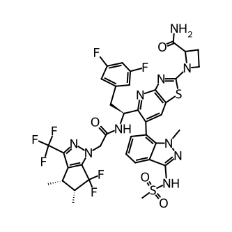 C[C@@H]1c2c(C(F)(F)F)nn(CC(=O)N[C@@H](Cc3cc(F)cc(F)c3)c3nc4nc(N5CCC5C(N)=O)sc4cc3-c3cccc4c(NS(C)(=O)=O)nn(C)c34)c2C(F)(F)[C@@H]1C